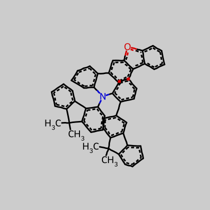 CC1(C)c2ccccc2-c2cc(-c3ccccc3N(c3ccccc3-c3ccc4c(c3)oc3ccccc34)c3cccc4c3-c3ccccc3C4(C)C)ccc21